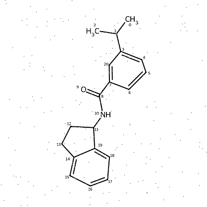 CC(C)c1cccc(C(=O)NC2CCc3ccccc32)c1